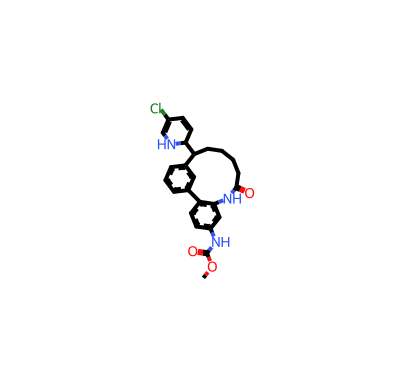 COC(=O)Nc1ccc2c(c1)NC(=O)CCCCC(C1C=CC(Cl)=CN1)c1cccc-2c1